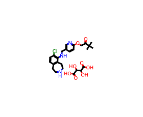 CC(C)(C)C(=O)COc1ccc(CNc2c(Cl)ccc3c2CCNCC3)cn1.O=C(O)C(O)C(O)C(=O)O